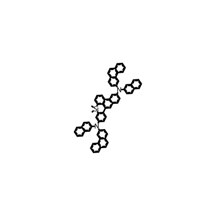 C[Si]1(C)c2cc(N(c3ccc4ccccc4c3)c3ccc4ccc5ccccc5c4c3)ccc2-c2cc3ccc(N(c4ccc5ccccc5c4)c4ccc5ccc6ccccc6c5c4)cc3c3cccc1c23